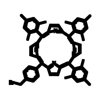 Cc1cc(C)c(C2=C3C=CC(=N3)C(c3ccc(CBr)cc3)=C3C=CC(=N3)C(c3c(C)cc(C)cc3C)=C3C=CC(=N3)C(c3c(C)cc(C)cc3C)=C3C=CC2=N3)c(C)c1